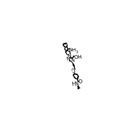 NC1c2ccccc2CC12CCN(c1ncc(C#CCOc3ccc(C(=O)NC4CC4)cc3)nc1CO)CC2